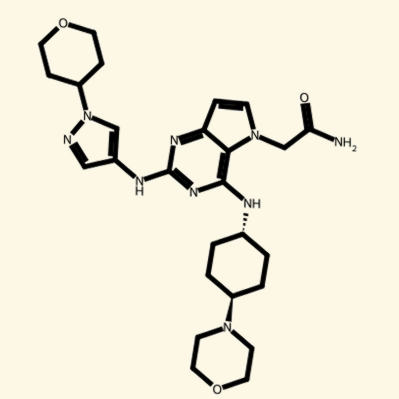 NC(=O)Cn1ccc2nc(Nc3cnn(C4CCOCC4)c3)nc(N[C@H]3CC[C@H](N4CCOCC4)CC3)c21